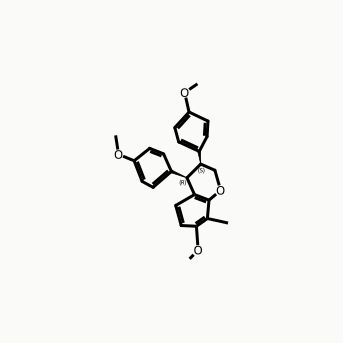 COc1ccc([C@@H]2c3ccc(OC)c(C)c3OC[C@@H]2c2ccc(OC)cc2)cc1